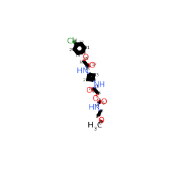 COCCNC(=O)OCC(=O)NC12CC(NC(=O)COc3ccc(Cl)cc3)(C1)C2